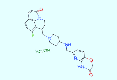 Cl.Cl.O=C1COc2ccc(CNC3CCN(CC4CCn5c(=O)ccc6ccc(F)c4c65)CC3)nc2N1